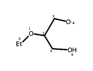 CCOC(C[O])CO